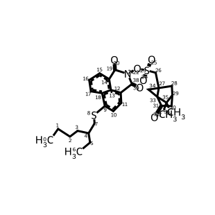 CCCCC(CC)CSc1ccc2c3c(cccc13)C(=O)N(OS(=O)(=O)CC13CC4CC(=O)C1(C3)C4(C)C)C2=O